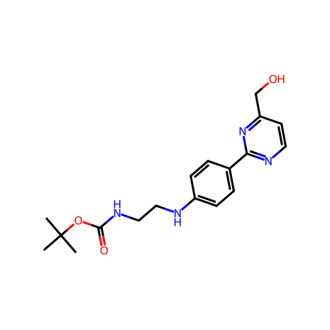 CC(C)(C)OC(=O)NCCNc1ccc(-c2nccc(CO)n2)cc1